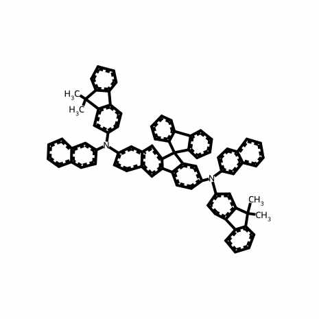 CC1(C)c2ccccc2-c2ccc(N(c3ccc4c(c3)C3(c5ccccc5-c5ccccc53)c3cc5cc(N(c6ccc7c(c6)C(C)(C)c6ccccc6-7)c6ccc7ccccc7c6)ccc5cc3-4)c3ccc4ccccc4c3)cc21